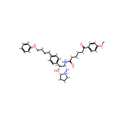 COc1ccc(C(=O)CCCCC(=O)N[C@H](CN2CCCC2)[C@H](O)c2ccc(CCCCOc3ccccc3)cc2)cc1